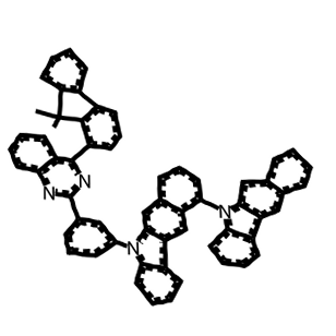 CC1(C)c2ccccc2-c2cccc(-c3nc(-c4cccc(-n5c6ccccc6c6cc7c(-n8c9ccccc9c9cc%10ccccc%10cc98)cccc7cc65)c4)nc4ccccc34)c21